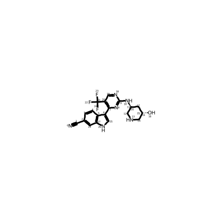 N#Cc1ccc2c(-c3nc(N[C@@H]4CNC[C@@H](O)C4)ncc3C(F)(F)F)c[nH]c2c1